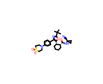 CC(C)(C)c1nc(-c2ccc(N3CCS(=O)(=O)CC3)cc2)c([C@@H]2CCCC[C@H]2C(=O)NC2(C#N)CC2)o1